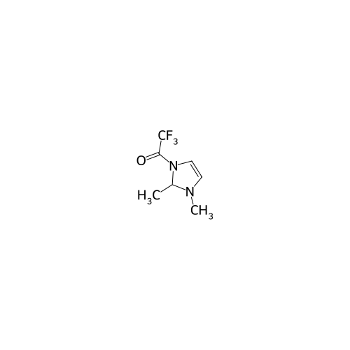 CC1N(C)C=CN1C(=O)C(F)(F)F